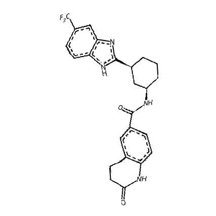 O=C1CCc2cc(C(=O)N[C@@H]3CCC[C@H](c4nc5cc(C(F)(F)F)ccc5[nH]4)C3)ccc2N1